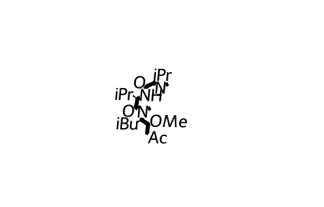 CCC(C)[C@@H](C(CC(C)=O)OC)N(C)C(=O)[C@@H](NC(=O)[C@H](C(C)C)N(C)C)C(C)C